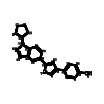 Oc1ccc(-c2coc(-c3ccc4c(c3)nnn4C3CCCC3)n2)cc1